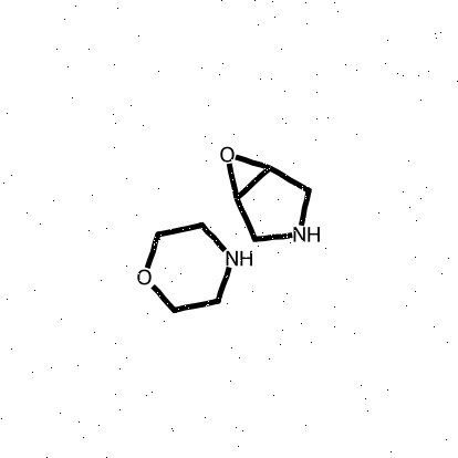 C1COCCN1.C1NCC2OC12